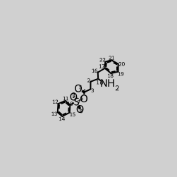 NC(CCC(=O)OS(=O)(=O)c1ccccc1)Cc1ccccc1